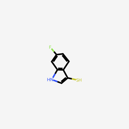 Fc1ccc2c(S)c[nH]c2c1